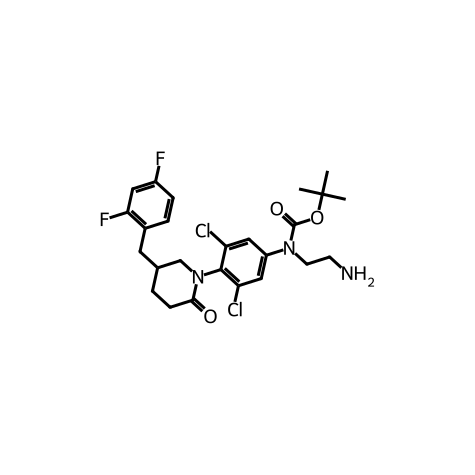 CC(C)(C)OC(=O)N(CCN)c1cc(Cl)c(N2CC(Cc3ccc(F)cc3F)CCC2=O)c(Cl)c1